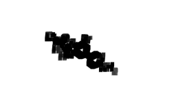 CCNC(=O)Nc1nc2cc(-c3ccc(N)nc3)cc(Br)c2s1